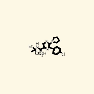 CCC(C)(NC(=O)c1cnc(N2CCCC2)c(-c2ccc(Cl)cc2)n1)C(=O)O